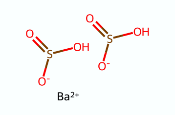 O=S([O-])O.O=S([O-])O.[Ba+2]